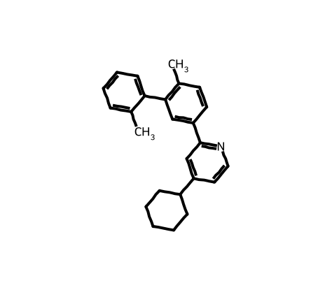 Cc1ccccc1-c1cc(-c2cc(C3CCCCC3)ccn2)ccc1C